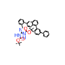 CC(C)(C)OC(=O)NC(=NCc1ccccc1-c1ccc2c(-c3cccc(-c4ccccc4)c3)cccc2c1)NC(=O)OC(C)(C)C